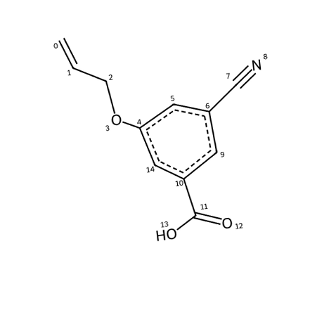 C=CCOc1cc(C#N)cc(C(=O)O)c1